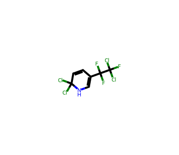 FC(Cl)(Cl)C(F)(F)C1=CNC(Cl)(Cl)C=C1